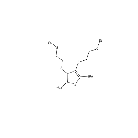 CCSCCSc1c(C(C)(C)C)sc(C(C)(C)C)c1SCCSCC